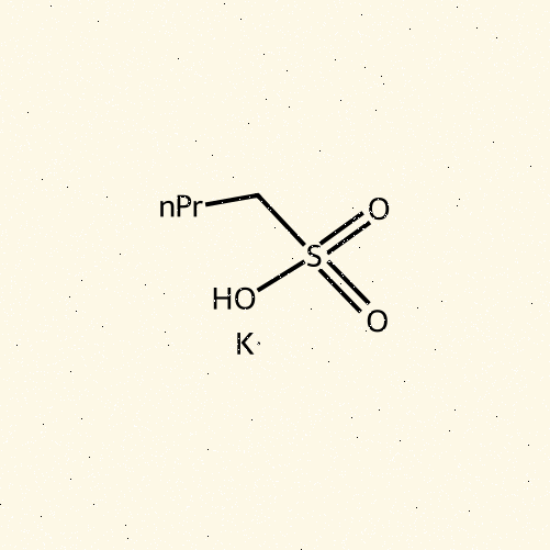 CCCCS(=O)(=O)O.[K]